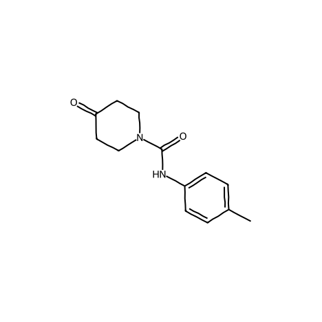 Cc1ccc(NC(=O)N2CCC(=O)CC2)cc1